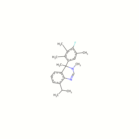 Cc1cc(C2(C)c3cccc(C(C)C)c3N=CN2C)c(C)c(C)c1F